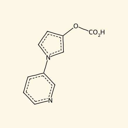 O=C(O)Oc1ccn(-c2cccnc2)c1